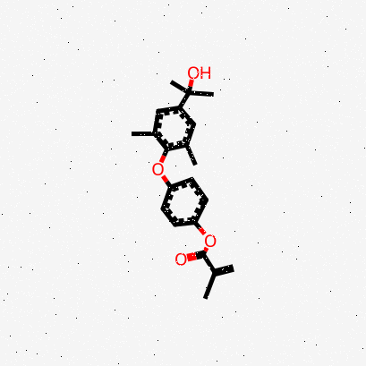 C=C(C)C(=O)Oc1ccc(Oc2c(C)cc(C(C)(C)O)cc2C)cc1